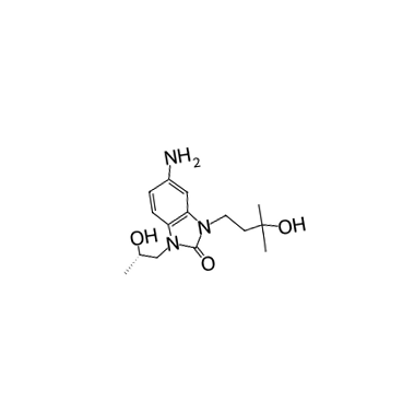 C[C@H](O)Cn1c(=O)n(CCC(C)(C)O)c2cc(N)ccc21